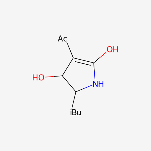 CCC(C)C1NC(O)=C(C(C)=O)C1O